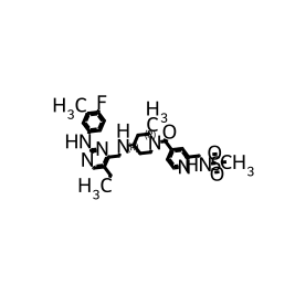 CCc1cnc(Nc2ccc(F)c(C)c2)nc1CN[C@@H]1CCN(C(=O)c2ccnc(CNS(C)(=O)=O)c2)[C@H](C)C1